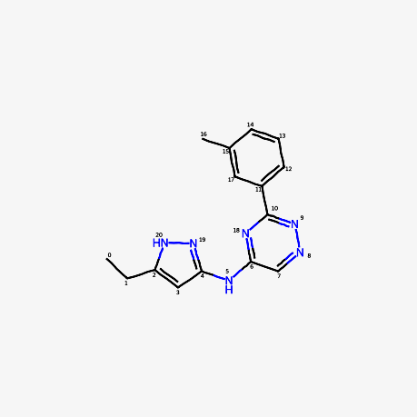 CCc1cc(Nc2cnnc(-c3cccc(C)c3)n2)n[nH]1